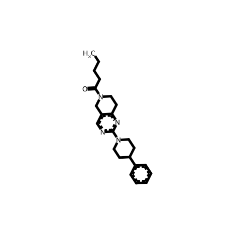 CCCCC(=O)N1CCc2nc(N3CCC(c4ccccc4)CC3)ncc2C1